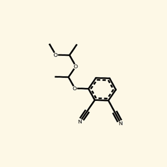 COC(C)OC(C)Oc1cccc(C#N)c1C#N